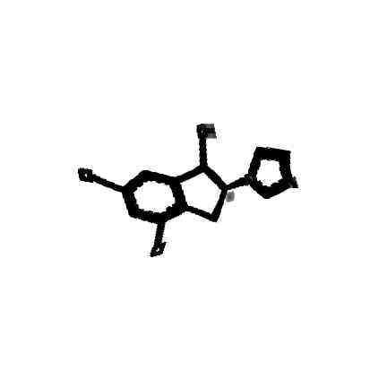 OC1c2cc(Cl)cc(Cl)c2C[C@@H]1n1ccnc1